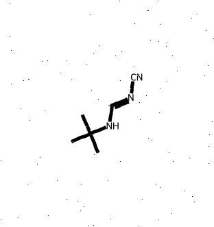 CC(C)(C)N/[C]=N/C#N